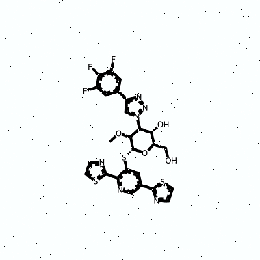 COC1C(n2cc(-c3cc(F)c(F)c(F)c3)nn2)[C@@H](O)C(CO)O[C@@H]1Sc1cc(-c2nccs2)cnc1-c1nccs1